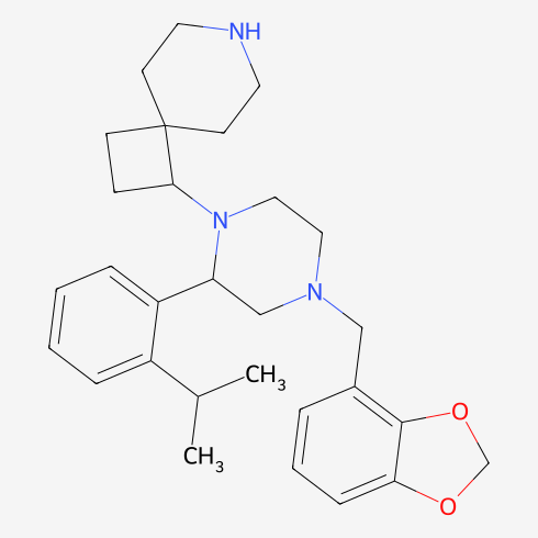 CC(C)c1ccccc1C1CN(Cc2cccc3c2OCO3)CCN1C1CCC12CCNCC2